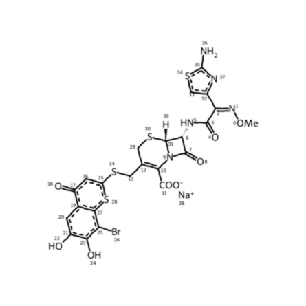 CO/N=C(\C(=O)N[C@@H]1C(=O)N2C(C(=O)[O-])=C(CSc3cc(=O)c4cc(O)c(O)c(Br)c4s3)CS[C@H]12)c1csc(N)n1.[Na+]